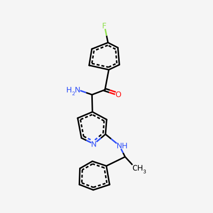 CC(Nc1cc(C(N)C(=O)c2ccc(F)cc2)ccn1)c1ccccc1